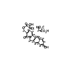 CCC1(O)C(=O)OCc2c1cc1n(c2=O)Cc2cc3cc(O)ccc3nc2-1.O=C(O)CC(=O)O